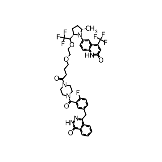 C[C@H]1CC[C@H](C(OCCOCCCC(=O)N2CCN(C(=O)c3cc(Cc4n[nH]c(=O)c5ccccc45)ccc3F)CC2)C(F)(F)F)N1c1ccc2[nH]c(=O)cc(C(F)(F)F)c2c1